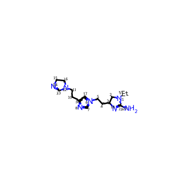 CCN1CC(CCn2cnc(CCN3C=NCC3)c2)N=C1N